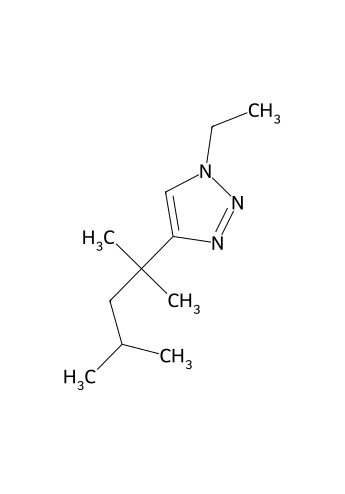 CCn1cc(C(C)(C)CC(C)C)nn1